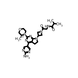 CC(C)C(=O)NCC(=O)N1CC(N2CCc3c(-c4cnc(N)nc4)nc(N4CCOC[C@@H]4C)nc32)C1